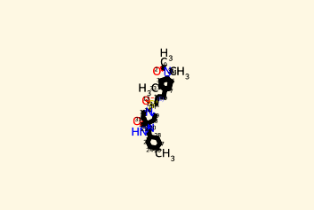 CC(=O)N(C)c1ccc(/C=C/C[S@+]([O-])N2CCC3(CC2)N=C(C2CCC(C)CC2)NC3=O)c(C)c1